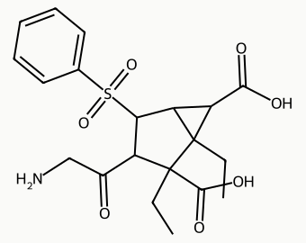 CCC1(C(=O)O)C(C(=O)CN)C(S(=O)(=O)c2ccccc2)C2C(C(=O)O)C21CC